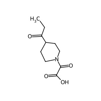 CCC(=O)C1CCN(C(=O)C(=O)O)CC1